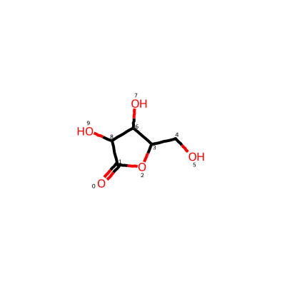 O=C1OC(CO)C(O)C1O